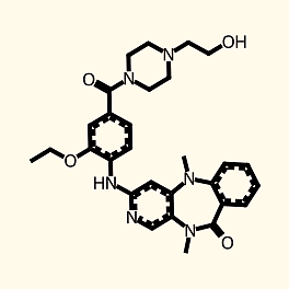 CCOc1cc(C(=O)N2CCN(CCO)CC2)ccc1Nc1cc2c(cn1)N(C)C(=O)c1ccccc1N2C